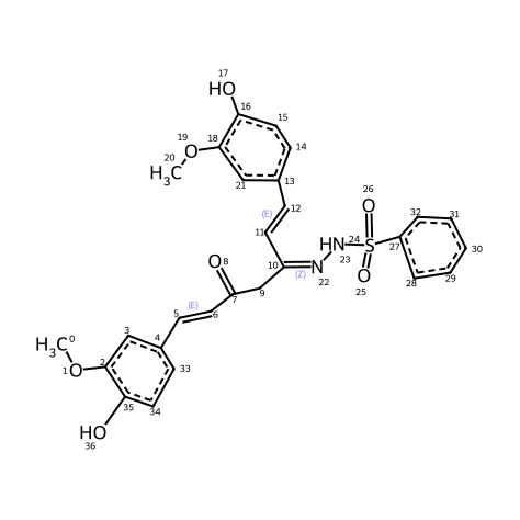 COc1cc(/C=C/C(=O)CC(/C=C/c2ccc(O)c(OC)c2)=N/NS(=O)(=O)c2ccccc2)ccc1O